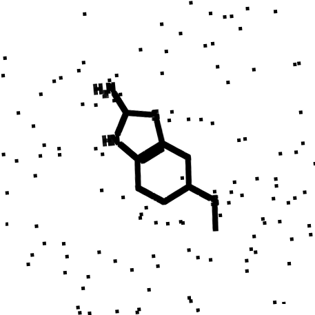 CSC1CCC2=C(C1)SC(N)N2